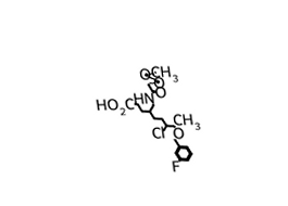 CC(OCc1cccc(F)c1)C(Cl)CCC(CCC(=O)O)CNC(=O)CS(C)(=O)=O